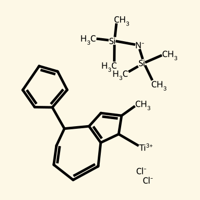 CC1=CC2=C(C=CC=CC2c2ccccc2)[CH]1[Ti+3].C[Si](C)(C)[N-][Si](C)(C)C.[Cl-].[Cl-]